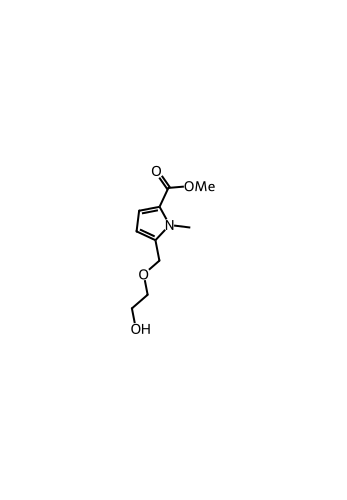 COC(=O)c1ccc(COCCO)n1C